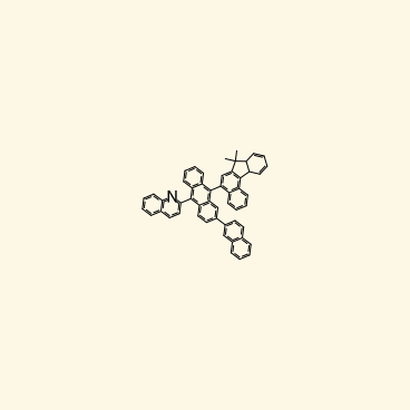 CC1(C)c2cc(-c3c4ccccc4c(-c4ccc5ccccc5n4)c4ccc(-c5ccc6ccccc6c5)cc34)c3ccccc3c2C2C=CC=CC21